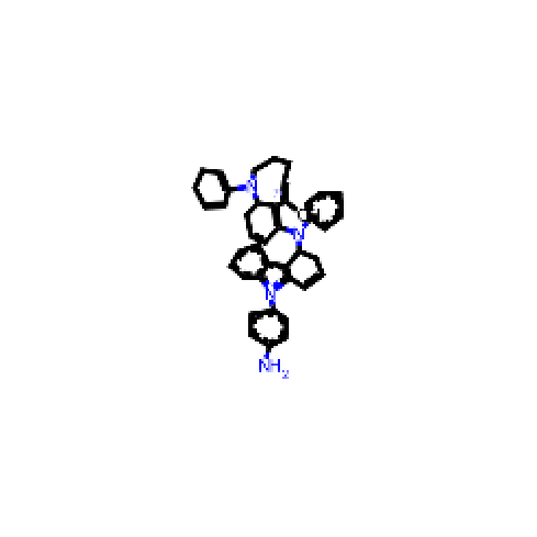 C/C1=C\CCCN(C2=CCCC=C2)C2CC=CC(N(c3ccccc3)C3CC=Cc4c3c3ccccc3n4-c3ccc(N)cc3)=C12